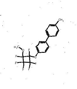 COC1(F)C(F)(F)C(F)(F)C1(F)Oc1ccc(-c2ccc(C)cc2)cc1